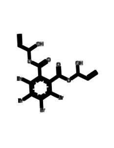 C=CC(O)OC(=O)c1c(Br)c(Br)c(Br)c(Br)c1C(=O)OC(O)C=C